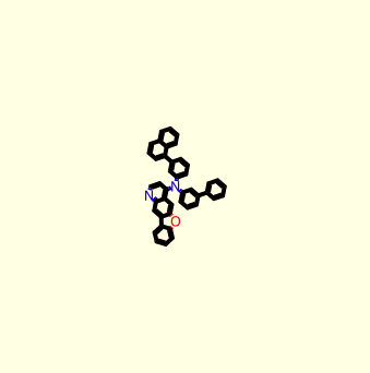 c1ccc(-c2cccc(N(c3cccc(-c4cccc5ccccc45)c3)c3ccnc4cc5c(cc34)oc3ccccc35)c2)cc1